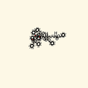 CC(Cc1ccc(OP(=O)(OCc2ccccc2)OCc2ccccc2)c(OCc2ccccc2)c1)(C(=O)N[C@@H](CCCCNC(=O)OCc1ccccc1)C(=O)OCc1ccccc1)N(NC(=O)OCc1ccccc1)C(=O)OCc1ccccc1